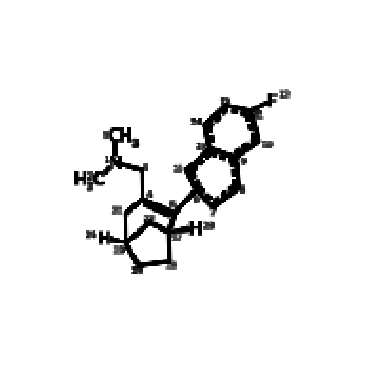 CN(C)CC1=C(c2ccc3cc(F)ccc3c2)[C@@H]2CC[C@H](C1)C2